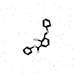 O=C(Oc1ccccc1)c1cccc(/C=N/c2ccccc2)c1O